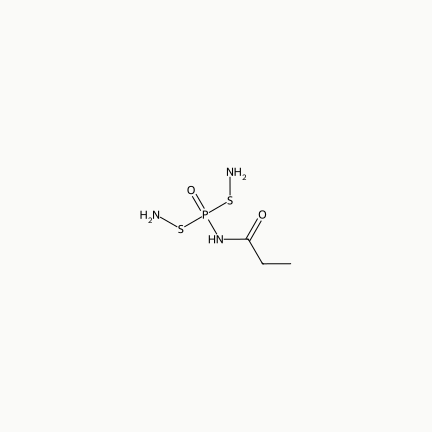 CCC(=O)NP(=O)(SN)SN